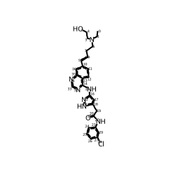 CCN(CCO)CC/C=C/c1ccc2c(Nc3cc(CC(=O)Nc4cccc(Cl)c4)[nH]n3)ncnc2c1